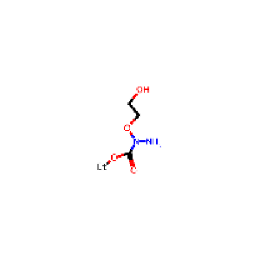 CCOC(=O)N(N)OCCO